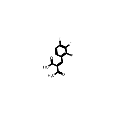 CC(=O)/C(=C/c1ccc(F)c(F)c1F)C(=O)O